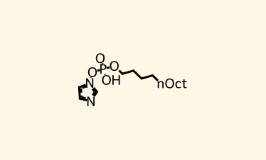 CCCCCCCCCCCCOP(=O)(O)On1ccnc1